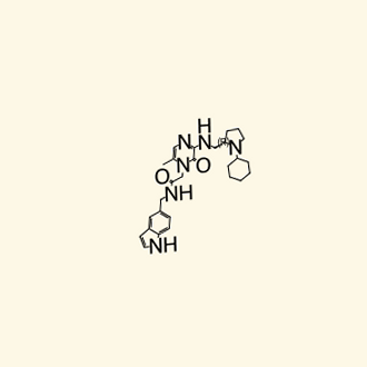 Cc1cnc(NC[C@H]2CCCN2C2CCCCC2)c(=O)n1CC(=O)NCc1ccc2[nH]ccc2c1